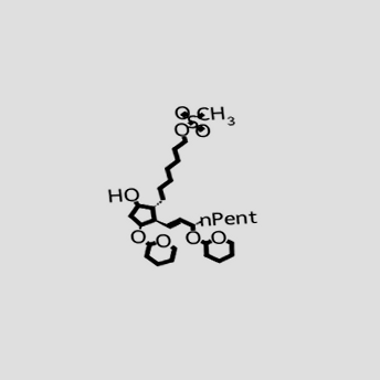 CCCCC[C@@H](/C=C/[C@H]1[C@H](OC2CCCCO2)CC(O)[C@@H]1CCCCCCCOS(C)(=O)=O)OC1CCCCO1